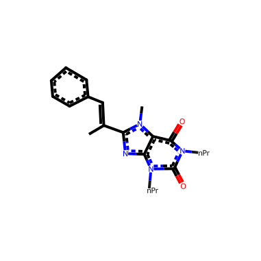 CCCn1c(=O)c2c(nc(/C(C)=C/c3ccccc3)n2C)n(CCC)c1=O